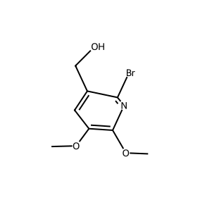 COc1cc(CO)c(Br)nc1OC